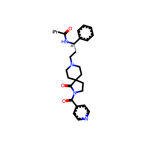 CC(C)C(=O)N[C@@H](CCN1CCC2(CC1)CCN(C(=O)c1ccncc1)C2=O)c1ccccc1